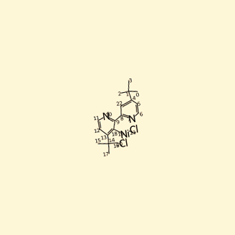 CC(C)(C)c1ccnc(-c2nccc(C(C)(C)C)[c]2[Ni]([Cl])[Cl])c1